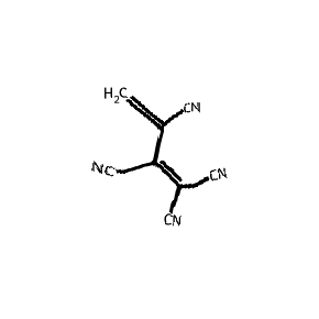 C=C(C#N)C(C#N)=C(C#N)C#N